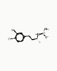 C[C@H](CCc1ccc(Cl)c(Cl)c1)N[S@@+]([O-])C(C)(C)C